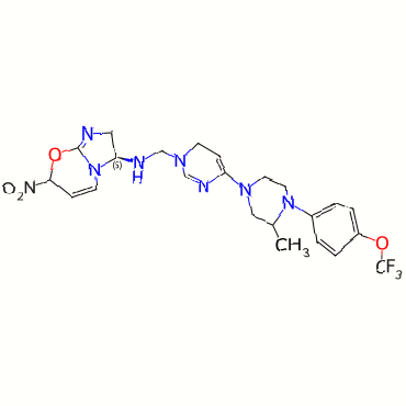 CC1CN(C2=CCN(CN[C@@H]3CN=C4OC([N+](=O)[O-])C=CN43)C=N2)CCN1c1ccc(OC(F)(F)F)cc1